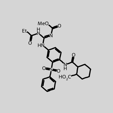 CCC(=O)NC(=NC(=O)OC)Nc1ccc(NC(=O)C2CCCCC2C(=O)O)c(S(=O)(=O)c2ccccc2)c1